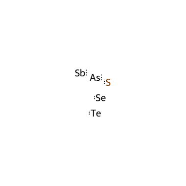 [As].[S].[Sb].[Se].[Te]